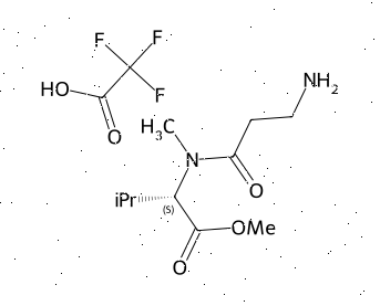 COC(=O)[C@H](C(C)C)N(C)C(=O)CCN.O=C(O)C(F)(F)F